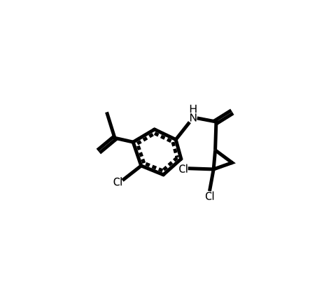 C=C(C)c1cc(NC(=C)C2CC2(Cl)Cl)ccc1Cl